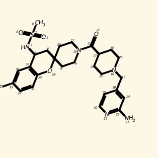 CS(=O)(=O)NC1CC2(CCN(C(=O)C3CCN(Cc4ccnc(N)c4)CC3)CC2)Oc2ccc(F)cc21